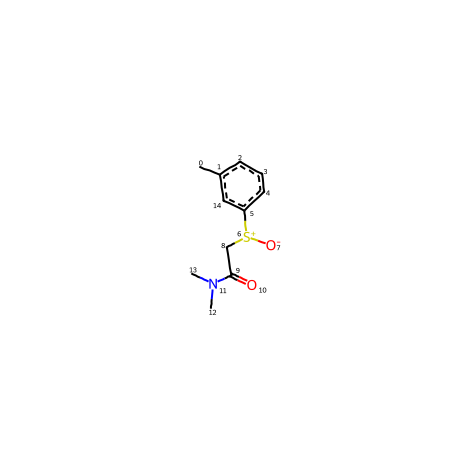 Cc1cccc([S+]([O-])CC(=O)N(C)C)c1